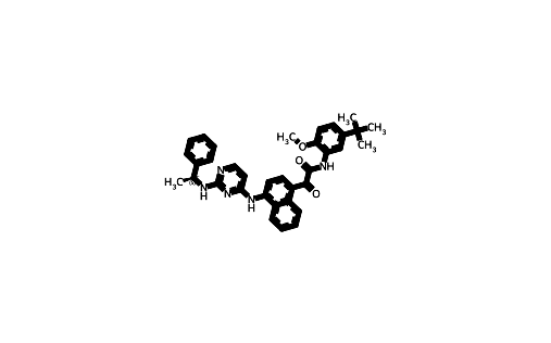 COc1ccc(C(C)(C)C)cc1NC(=O)C(=O)c1ccc(Nc2ccnc(N[C@@H](C)c3ccccc3)n2)c2ccccc12